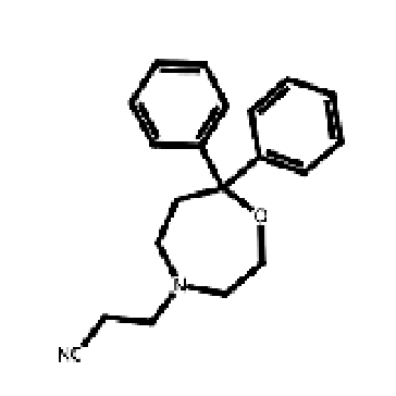 N#CCCN1CCOC(c2ccccc2)(c2ccccc2)CC1